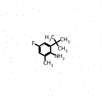 Cc1cc(F)cc(C(C)(C)C)c1N